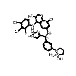 N#Cc1cnc2c(Cl)cc(N[C@@H](c3cccc(N4CCCS4(O)O)c3)c3c[nH]nn3)cc2c1Nc1ccc(Cl)c(Cl)c1F